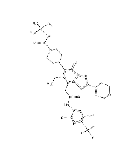 CCc1c(N2CCN(C(=O)OC(C)(C)C)CC2)c(=O)n2nc(C3=CCOCC3)nc2n1CC(=O)Nc1cc(F)c(C(F)(F)F)nc1Cl